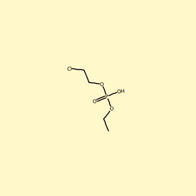 CCOP(=O)(O)OCCCl